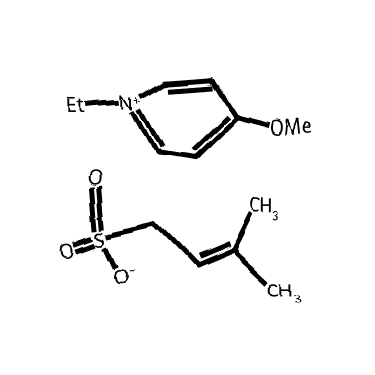 CC(C)=CCS(=O)(=O)[O-].CC[n+]1ccc(OC)cc1